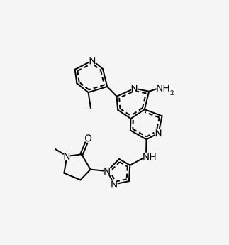 Cc1ccncc1-c1cc2cc(Nc3cnn(C4CCN(C)C4=O)c3)ncc2c(N)n1